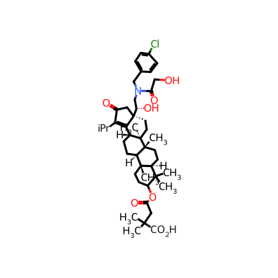 CC(C)C1=C2[C@H]3CC[C@@H]4[C@@]5(C)CCC(OC(=O)CC(C)(C)C(=O)O)C(C)(C)[C@@H]5CC[C@@]4(C)[C@]3(C)CC[C@@]2([C@@H](O)CN(Cc2ccc(Cl)cc2)C(=O)CO)CC1=O